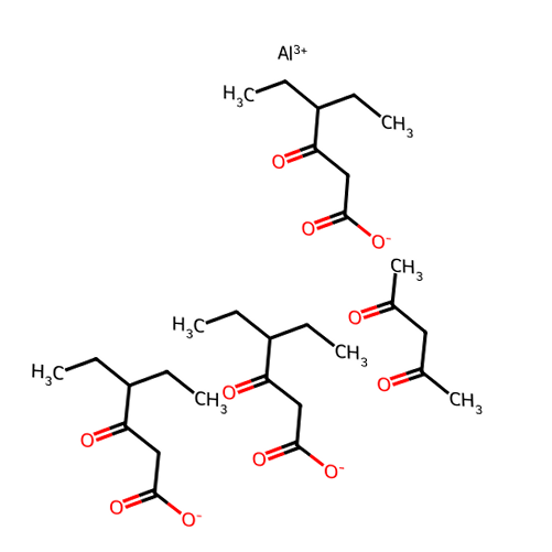 CC(=O)CC(C)=O.CCC(CC)C(=O)CC(=O)[O-].CCC(CC)C(=O)CC(=O)[O-].CCC(CC)C(=O)CC(=O)[O-].[Al+3]